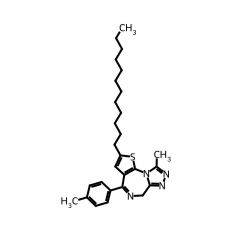 CCCCCCCCCCCCc1cc2c(s1)-n1c(C)nnc1CN=C2c1ccc(C)cc1